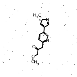 COCC(=O)Cc1ccc(C2=C[C@H](C)N=C2)cn1